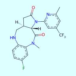 Cc1cc(C(F)(F)F)cc(N2C(=O)C[C@@H]3CNc4ccc(F)cc4N(C)C(=O)[C@H]32)n1